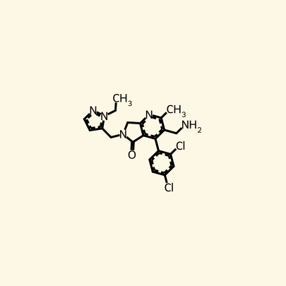 CCn1nccc1CN1Cc2nc(C)c(CN)c(-c3ccc(Cl)cc3Cl)c2C1=O